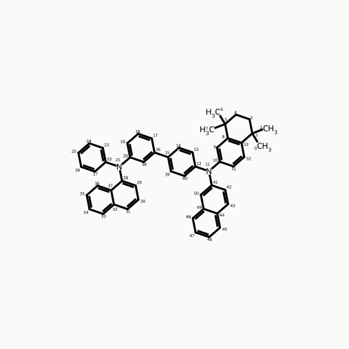 CC1(C)CCC(C)(C)c2cc(N(c3ccc(-c4cccc(N(c5ccccc5)c5cccc6ccccc56)c4)cc3)c3ccc4ccccc4c3)ccc21